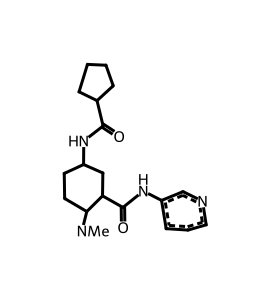 CNC1CCC(NC(=O)C2CCCC2)CC1C(=O)Nc1cccnc1